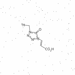 [2H]Cn1nnn(C=CC(=O)O)c1=O